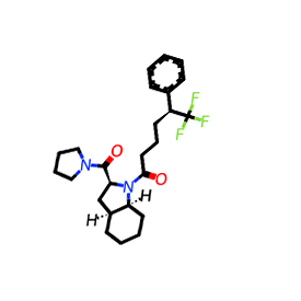 O=C([C@@H]1C[C@@H]2CCCC[C@@H]2N1C(=O)CCC[C@@H](c1ccccc1)C(F)(F)F)N1CCCC1